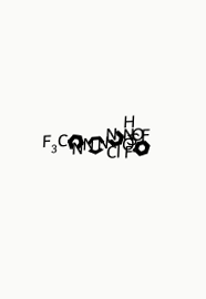 O=S(=O)(Nc1cnc(N2CCCN(c3ccc(C(F)(F)F)cn3)CC2)c(Cl)c1)c1c(F)cccc1F